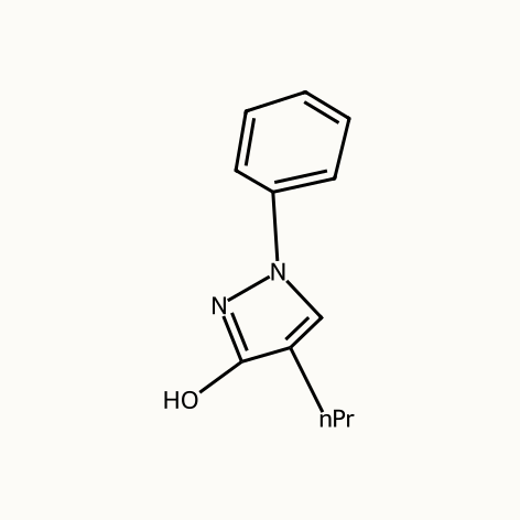 CCCc1cn(-c2ccccc2)nc1O